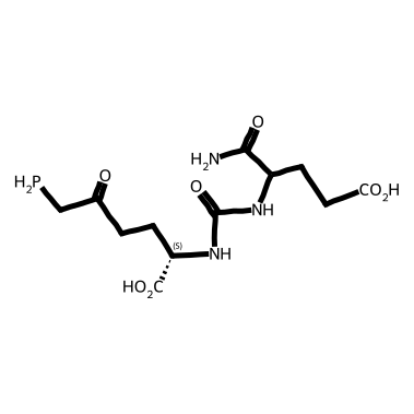 NC(=O)C(CCC(=O)O)NC(=O)N[C@@H](CCC(=O)CP)C(=O)O